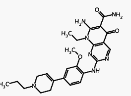 CCCN1CC=C(c2ccc(Nc3ncc4c(=O)c(C(N)=O)c(N)n(CC)c4n3)c(OC)c2)CC1